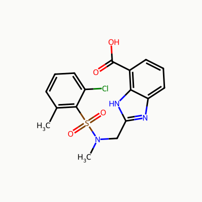 Cc1cccc(Cl)c1S(=O)(=O)N(C)Cc1nc2cccc(C(=O)O)c2[nH]1